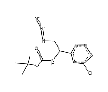 CC(C)(C)OC(=O)NC(CN=[N+]=[N-])c1cncc(Cl)c1